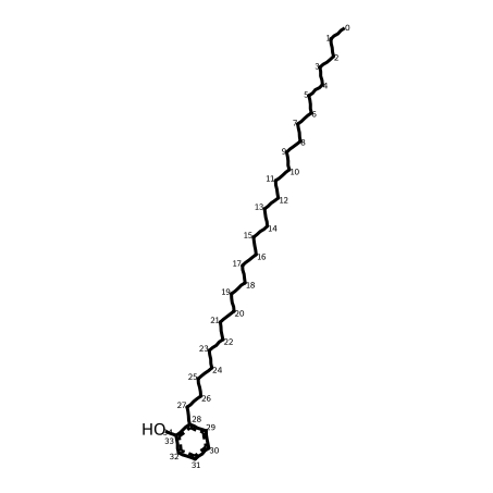 CCCCCCCCCCCCCCCCCCCCCCCCCCCCc1ccccc1O